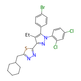 CCc1c(-c2nnc(CC3CCCCC3)s2)nn(-c2ccc(Cl)cc2Cl)c1-c1ccc(Br)cc1